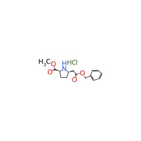 COC(=O)[C@@H]1CC[C@H](CC(=O)OCc2ccccc2)N1.Cl